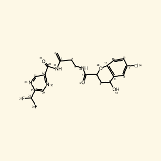 C=C(CCNC(=O)C1CC(O)c2cc(Cl)ccc2O1)NC(=O)c1cnc(C(F)F)cn1